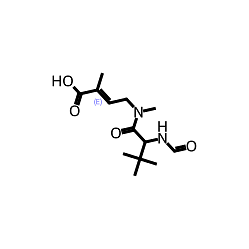 C/C(=C\CN(C)C(=O)C(NC=O)C(C)(C)C)C(=O)O